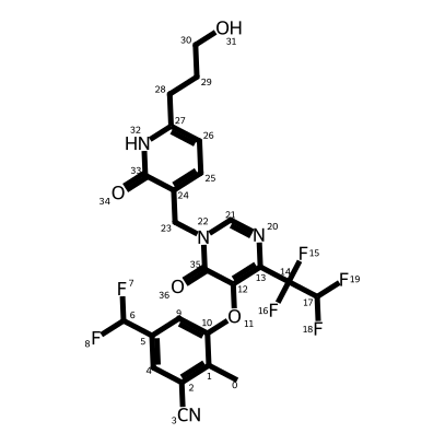 Cc1c(C#N)cc(C(F)F)cc1Oc1c(C(F)(F)C(F)F)ncn(Cc2ccc(CCCO)[nH]c2=O)c1=O